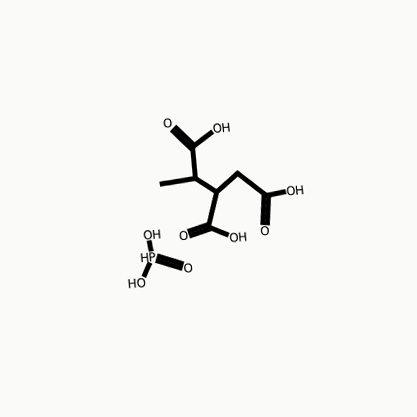 CC(C(=O)O)C(CC(=O)O)C(=O)O.O=[PH](O)O